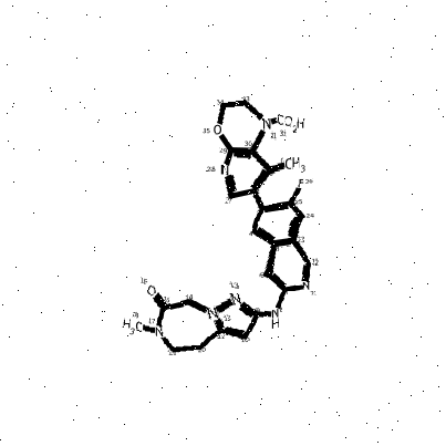 Cc1c(-c2cc3cc(Nc4cc5n(n4)CC(=O)N(C)CC5)ncc3cc2F)cnc2c1N(C(=O)O)CCO2